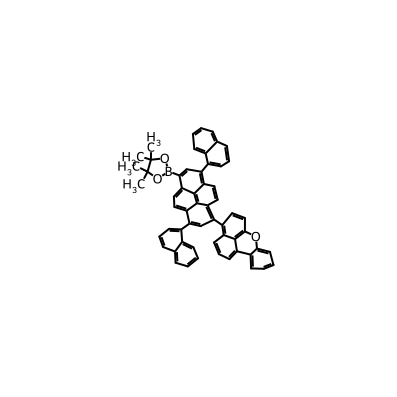 CC1(C)OB(c2cc(-c3cccc4ccccc34)c3ccc4c(-c5ccc6c7c(cccc57)-c5ccccc5O6)cc(-c5cccc6ccccc56)c5ccc2c3c54)OC1(C)C